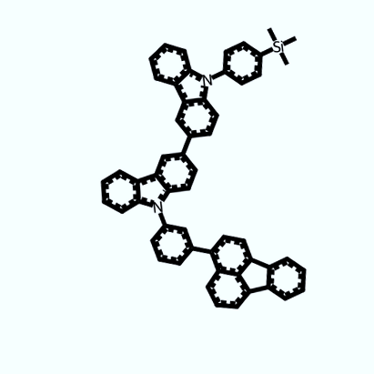 C[Si](C)(C)c1ccc(-n2c3ccccc3c3cc(-c4ccc5c(c4)c4ccccc4n5-c4cccc(-c5ccc6c7c(cccc57)-c5ccccc5-6)c4)ccc32)cc1